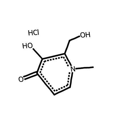 Cl.Cn1ccc(=O)c(O)c1CO